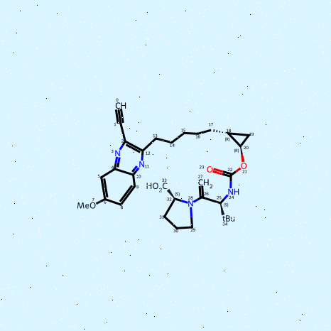 C#Cc1nc2cc(OC)ccc2nc1CCCCC[C@@H]1C[C@H]1OC(=O)N[C@H](C(=C)N1CCC[C@H]1C(=O)O)C(C)(C)C